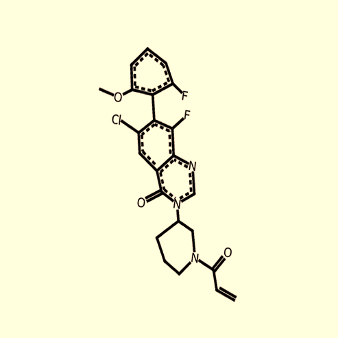 C=CC(=O)N1CCCC(n2cnc3c(F)c(-c4c(F)cccc4OC)c(Cl)cc3c2=O)C1